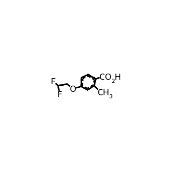 Cc1cc(OCC(F)F)ccc1C(=O)O